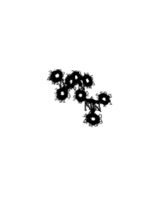 c1ccc(-c2cc(-c3cccc(-n4c5ccccc5c5ccc6cc7c(cc6c54)c4ccccc4n7-c4ccccc4)c3)nc(-c3ccccc3)n2)cc1